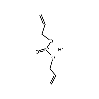 C=CCO[N+](=O)OCC=C.[H+]